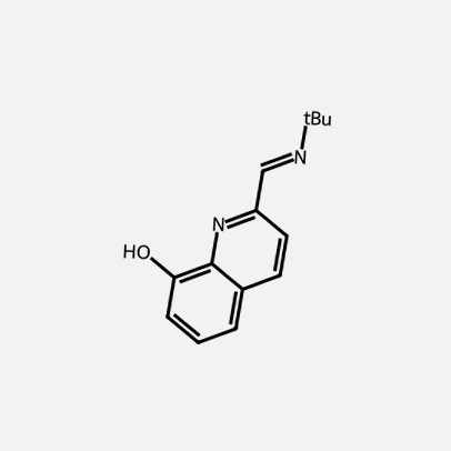 CC(C)(C)/N=C/c1ccc2cccc(O)c2n1